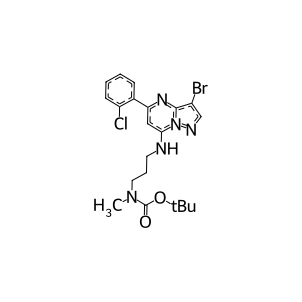 CN(CCCNc1cc(-c2ccccc2Cl)nc2c(Br)cnn12)C(=O)OC(C)(C)C